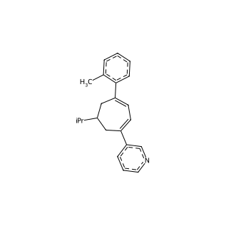 Cc1ccccc1C1=CC=C(c2cccnc2)CC(C(C)C)C1